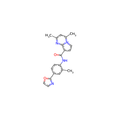 Cc1cc(C)n2ccc(C(=O)Nc3ccc(-c4ncco4)cc3C)c2n1